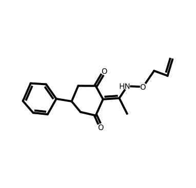 C=CCONC(C)=C1C(=O)CC(c2ccccc2)CC1=O